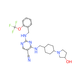 N#Cc1cnc(NCc2ccccc2OC(F)(F)F)nc1NCC1CCC(N2CCC(O)C2)CC1